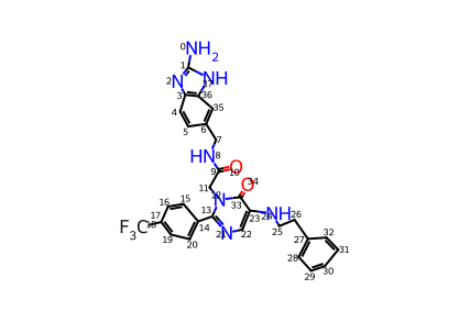 Nc1nc2ccc(CNC(=O)Cn3c(-c4ccc(C(F)(F)F)cc4)ncc(NCCc4ccccc4)c3=O)cc2[nH]1